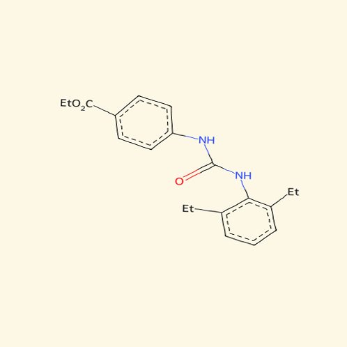 CCOC(=O)c1ccc(NC(=O)Nc2c(CC)cccc2CC)cc1